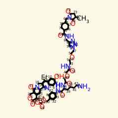 CCc1c2c(nc3ccc(O)cc13)-c1cc3c(c(=O)n1C2)COC(=O)C3(CC)OC(=O)OCc1ccc(NC(=O)C(CCCCN)NC(=O)COCC(=O)NCCOCCn2cc(CNC(=O)C3CCC(CN4C(=O)CC(C)C4=O)CC3)nn2)cc1